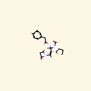 CC(C)(C)OC(=O)NC1(NC(=O)Cc2ccc(O)cc2)S[C@@H]2CC(=O)N2C(C(=O)O)=C1[C@H]1CCCO1